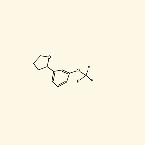 FC(F)(F)Oc1cccc(C2CCCO2)c1